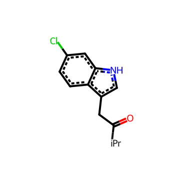 CC(C)C(=O)Cc1c[nH]c2cc(Cl)ccc12